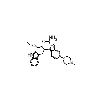 CCOCCC(Cc1c[nH]c2ccccc12)c1c(C(N)=O)sc2cc(N3CCN(C)CC3)ccc12